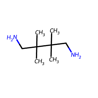 CC(C)(CN)C(C)(C)CN